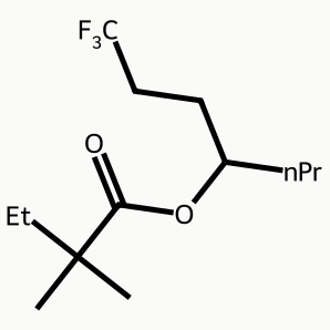 CCCC(CCC(F)(F)F)OC(=O)C(C)(C)CC